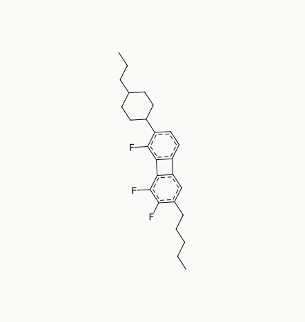 CCCCCc1cc2c(c(F)c1F)-c1c-2ccc(C2CCC(CCC)CC2)c1F